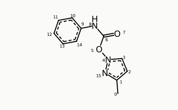 Cc1ccn(OC(=O)Nc2ccccc2)n1